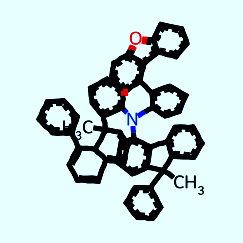 CC1(c2ccccc2)c2ccccc2-c2c(N(c3ccccc3-c3cccc4oc5ccccc5c34)c3ccccc3C3(C)C=CC=C4C=CC=C(c5ccccc5)C43)cccc21